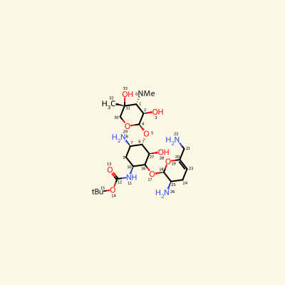 CN[C@@H]1[C@@H](O)[C@@H](O[C@H]2[C@H](N)C[C@H](NC(=O)OC(C)(C)C)C(O[C@H]3OC(CN)=CC[C@H]3N)[C@@H]2O)OC[C@]1(C)O